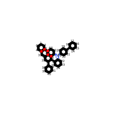 c1ccc(-c2ccc(N(c3ccc(-c4ccccc4)cc3)c3ccccc3-c3cc4ccccc4cc3-c3ccccc3)cc2)cc1